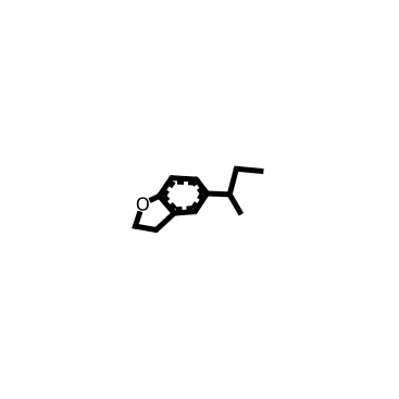 CCC(C)c1ccc2c(c1)CCO2